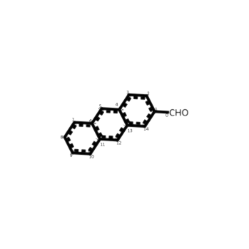 O=Cc1ccc2[c]c3ccccc3cc2c1